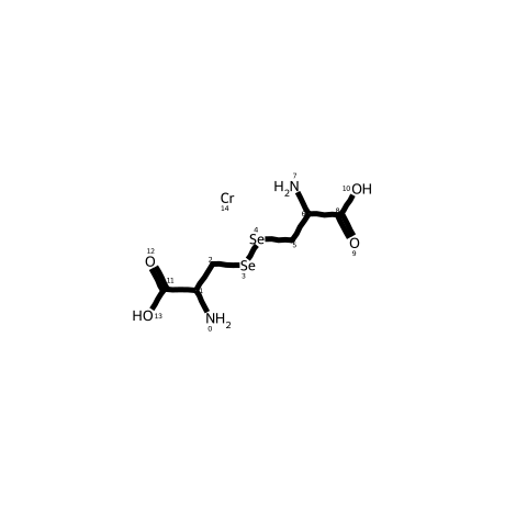 NC(C[Se][Se]CC(N)C(=O)O)C(=O)O.[Cr]